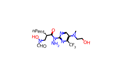 CCCCC[C@H](CN(O)C=O)C(=O)N(N)c1ncc(N(C)CCO)c(C(F)(F)F)n1